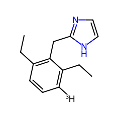 [3H]c1ccc(CC)c(Cc2ncc[nH]2)c1CC